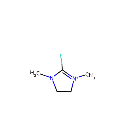 CN1CC[N+](C)=C1F